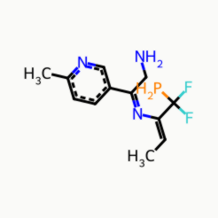 C/C=C(\N=C(/CN)c1ccc(C)nc1)C(F)(F)P